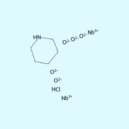 C1CCNCC1.Cl.[Nb+5].[Nb+5].[O-2].[O-2].[O-2].[O-2].[O-2]